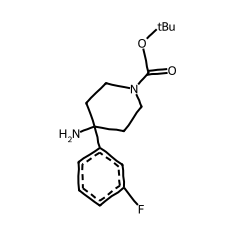 CC(C)(C)OC(=O)N1CCC(N)(c2cccc(F)c2)CC1